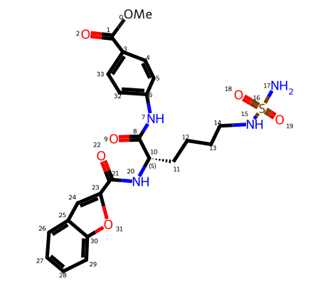 COC(=O)c1ccc(NC(=O)[C@H](CCCCNS(N)(=O)=O)NC(=O)c2cc3ccccc3o2)cc1